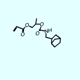 C=CC(=O)OCC(C)OC(=O)NCC1CC2CCC1C2